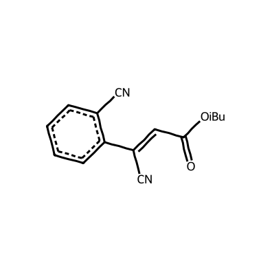 CC(C)COC(=O)C=C(C#N)c1ccccc1C#N